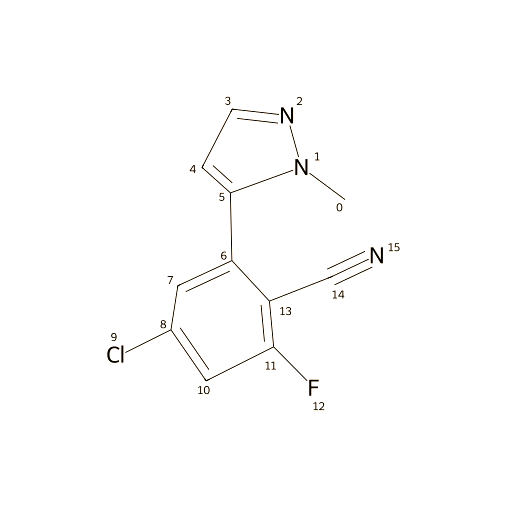 Cn1nccc1-c1cc(Cl)cc(F)c1C#N